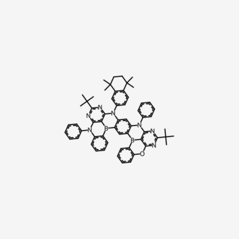 CC(C)(C)c1nc2c3c(n1)N(c1ccccc1)c1cc4c(cc1B3c1ccccc1O2)B1c2ccccc2N(c2ccccc2)c2nc(C(C)(C)C)nc(c21)N4c1ccc2c(c1)C(C)(C)CCC2(C)C